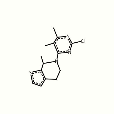 Cc1nc(Cl)nc(N2CCc3ccsc3C2C)c1C